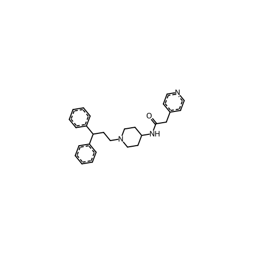 O=C(Cc1ccncc1)NC1CCN(CCC(c2ccccc2)c2ccccc2)CC1